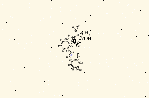 CC(C)(O)C(C1CC1)N1Cc2cccc(/C=C/c3ccc(F)cc3F)c2C1=O